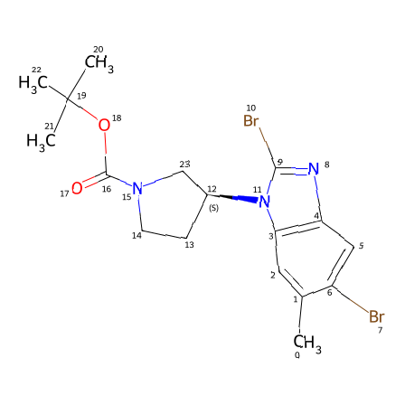 Cc1cc2c(cc1Br)nc(Br)n2[C@H]1CCN(C(=O)OC(C)(C)C)C1